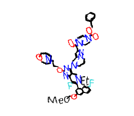 CCc1c(F)ccc2cc(OCOC)cc(-c3ncc4c(N5CCCn6nc(C(=O)N7CCN(C(=O)OCc8ccccc8)CC7)cc6C5)nc(OCCCN5C6CCC5COC6)nc4c3F)c12